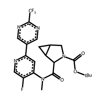 CN(C(=O)C1C2CC2CN1C(=O)OC(C)(C)C)c1cc(-c2cnc(C(F)(F)F)nc2)ncc1F